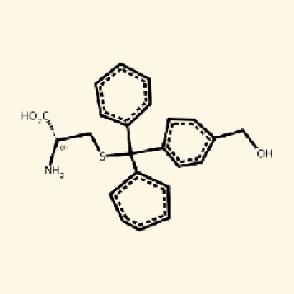 N[C@@H](CSC(c1ccccc1)(c1ccccc1)c1ccc(CO)cc1)C(=O)O